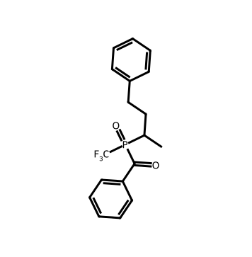 CC(CCc1ccccc1)P(=O)(C(=O)c1ccccc1)C(F)(F)F